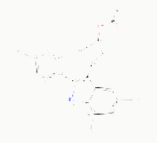 CC(=O)OC1CC(c2c(-c3ccc(F)cc3)[nH]c3c(F)cc(F)cc23)C1